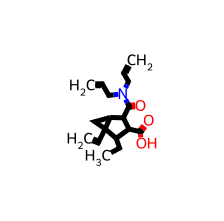 C=CCN(CC=C)C(=O)C1C(C(=O)O)C(CC)C2(C=C)CC12